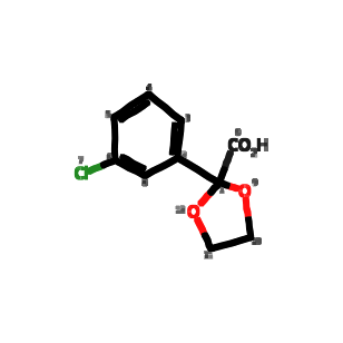 O=C(O)C1(c2cccc(Cl)c2)OCCO1